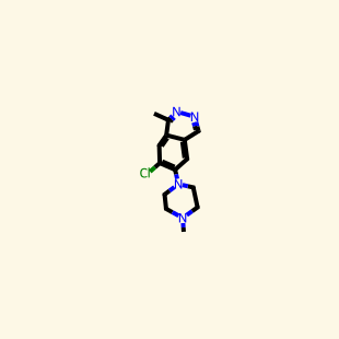 Cc1nncc2cc(N3CCN(C)CC3)c(Cl)cc12